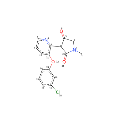 CN1CC(=O)C(c2ncccc2Oc2cccc(Cl)c2)C1=O